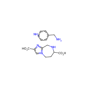 N.NCc1ccccc1.O=C(O)c1cn2c(n1)CNC(C(=O)O)CC2